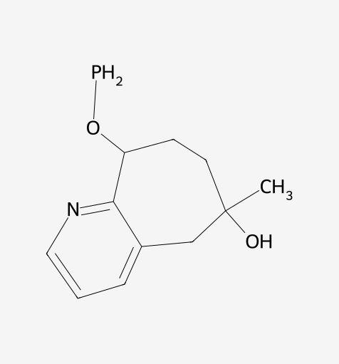 CC1(O)CCC(OP)c2ncccc2C1